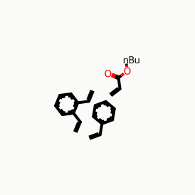 C=CC(=O)OCCCC.C=Cc1ccccc1.C=Cc1ccccc1C=C